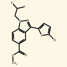 COC(=O)c1ccc2c(c1)c(-c1ccc(Cl)s1)nn2CC(F)F